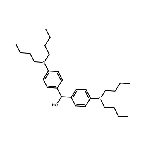 CCCCN(CCCC)c1ccc(C(O)c2ccc(N(CCCC)CCCC)cc2)cc1